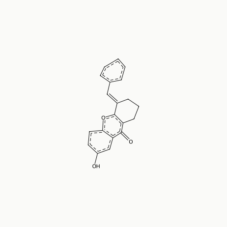 O=c1c2c(oc3ccc(O)cc13)C(=Cc1ccccc1)CCC2